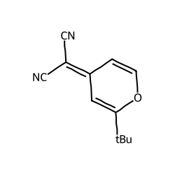 CC(C)(C)C1=CC(=C(C#N)C#N)C=CO1